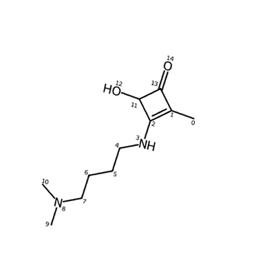 CC1=C(NCCCCN(C)C)C(O)C1=O